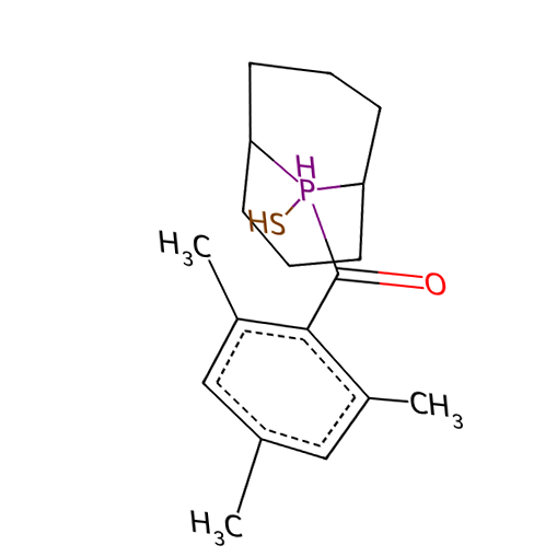 Cc1cc(C)c(C(=O)[PH]2(S)C3CCCC2CCC3)c(C)c1